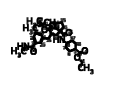 CCOC(=O)[C@H]1CC[C@@H](NC(=O)C2(CC(Cc3cccc(C(=O)NC)c3)C(=O)OC(C)(C)C)CCCC2)CC1